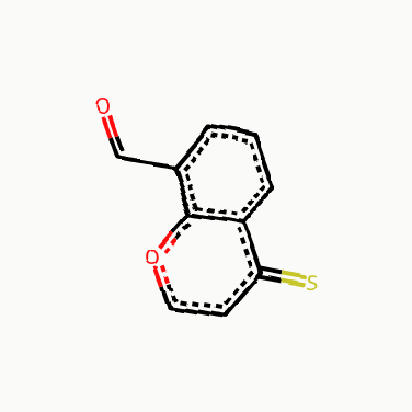 O=Cc1cccc2c(=S)ccoc12